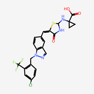 O=C1NC(NC2(C(=O)O)CC2)SC1=Cc1ccc2c(cnn2Cc2ccc(Cl)cc2C(F)(F)F)c1